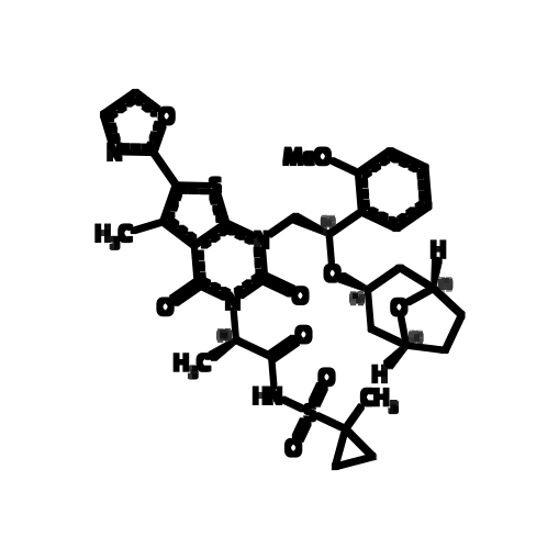 COc1ccccc1[C@H](Cn1c(=O)n([C@H](C)C(=O)NS(=O)(=O)C2(C)CC2)c(=O)c2c(C)c(-c3ncco3)sc21)O[C@@H]1C[C@H]2CC[C@@H](C1)O2